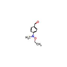 CCON(C)c1ccc(C=O)cc1